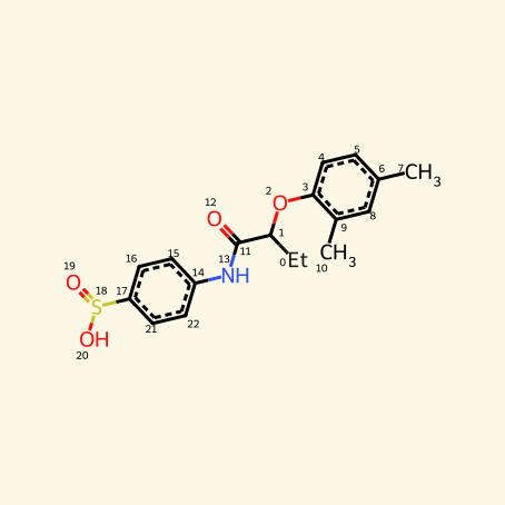 CCC(Oc1ccc(C)cc1C)C(=O)Nc1ccc(S(=O)O)cc1